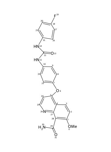 COc1ccc2c(Oc3ccc(NC(=O)Nc4ccc(F)cc4)cc3)ccnc2c1C(N)=O